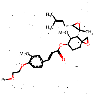 COc1cc(/C=C/C(=O)O[C@@H]2CC[C@]3(CO3)[C@@H](C3(C)O[C@H]3CC=C(C)C)[C@@H]2OC)ccc1OCCOC(C)C